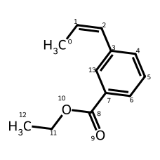 C/C=C\c1cccc(C(=O)OCC)c1